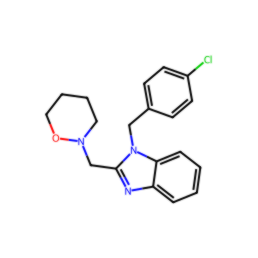 Clc1ccc(Cn2c(CN3CCCCO3)nc3ccccc32)cc1